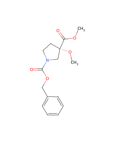 COC(=O)[C@]1(OC)CCN(C(=O)OCc2ccccc2)C1